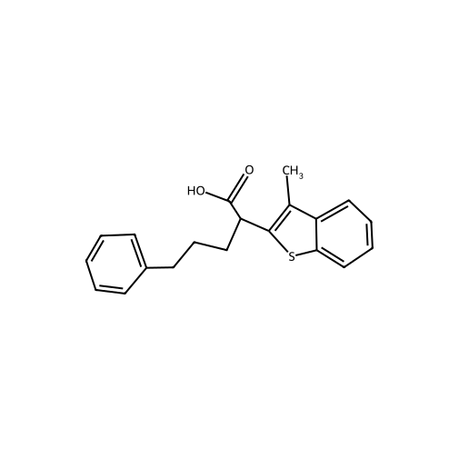 Cc1c(C(CCCc2ccccc2)C(=O)O)sc2ccccc12